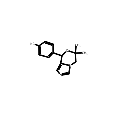 CC1(C)Cn2cncc2C(c2ccc(C#N)cc2)O1